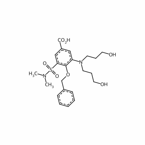 CN(C)S(=O)(=O)c1cc(C(=O)O)cc(N(CCCO)CCCO)c1OCc1ccccc1